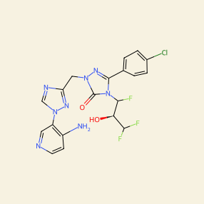 Nc1ccncc1-n1cnc(Cn2nc(-c3ccc(Cl)cc3)n(C(F)[C@H](O)C(F)F)c2=O)n1